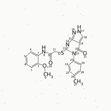 COc1ccccc1NC(=O)CSc1nc2n[nH]cc2c(=O)n1-c1ccc(C)cc1